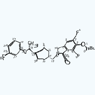 CCCCOc1c(F)cc2c(c1F)C(=O)N(C[C@H]1CC[C@H](C(C)Oc3cccc(F)c3)CC1)C2